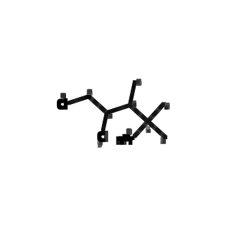 CCCC(C)(C)C(C)C(Cl)CCl